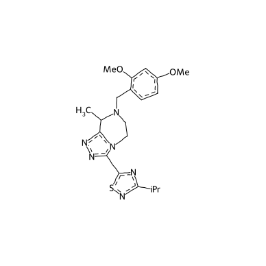 COc1ccc(CN2CCn3c(-c4nc(C(C)C)ns4)nnc3C2C)c(OC)c1